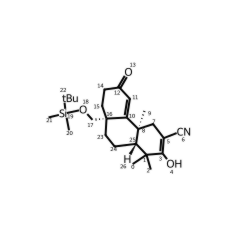 CC1(C)C(O)=C(C#N)C[C@]2(C)C3=CC(=O)CC[C@]3(CO[Si](C)(C)C(C)(C)C)CC[C@@H]12